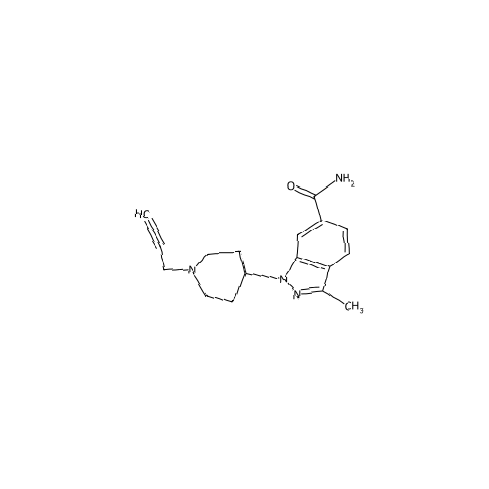 C#CCN1CCC(n2nc(C)c3ccc(C(N)=O)cc32)CC1